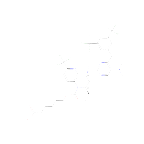 CC[C@@H]1C[C@H](Nc2ncc(N(C)C)c(Cc3cc(C(F)(F)F)cc(C(F)(F)F)c3)n2)c2nc(C(F)(F)F)ccc2N1C(=O)OCCCCCC(=O)O